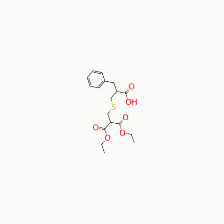 CCOC(=O)C(CSCC(Cc1ccccc1)C(=O)O)C(=O)OCC